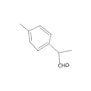 Cc1ccc(C(C)[C]=O)cc1